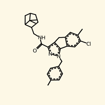 Cc1ccc(Cn2nc(C(=O)NCC3CCC4CC3C4(C)C)c3c2-c2cc(Cl)c(C)cc2C3)cc1